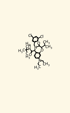 CCN(CC)c1ccc2c(c1)OC(C(C)C)C(=O)N(Cc1cc(Cl)cc(Cl)c1)C2C(=O)NC(C)(C)C